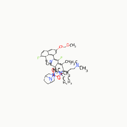 C#Cc1c(F)ccc2cc(OCOC)cc(-c3ncc4c(N5CC6CCC(C5)N6C(=O)OC(C)(C)C)nc(C(C)CCN(C)C)c(C)c4c3F)c12